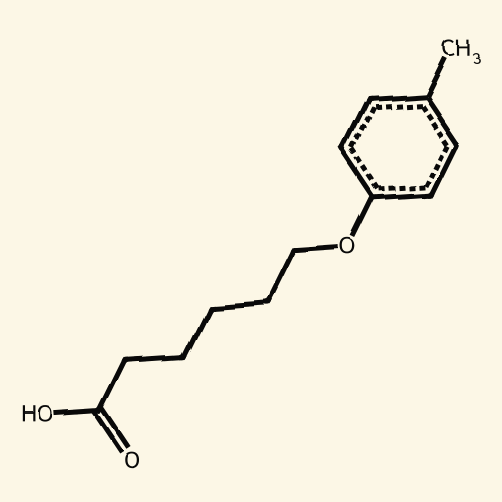 Cc1ccc(OCCCCCC(=O)O)cc1